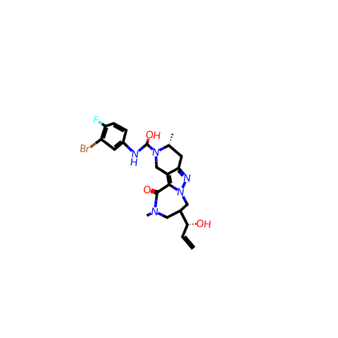 C=C[C@@H](O)C1CN(C)C(=O)c2c3c(nn2C1)C[C@@H](C)N(C(O)Nc1ccc(F)c(Br)c1)C3